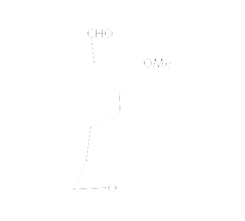 COC(CC=O)CCC1CO1